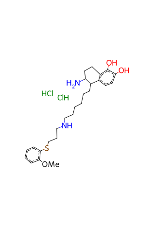 COc1ccccc1SCCCNCCCCCCC1c2ccc(O)c(O)c2CCC1N.Cl.Cl